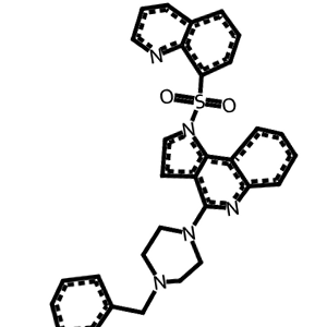 O=S(=O)(c1cccc2cccnc12)n1ccc2c(N3CCN(Cc4ccccc4)CC3)nc3ccccc3c21